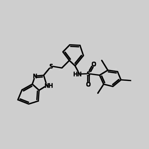 Cc1cc(C)c(S(=O)(=O)Nc2ccccc2CSc2nc3ccccc3[nH]2)c(C)c1